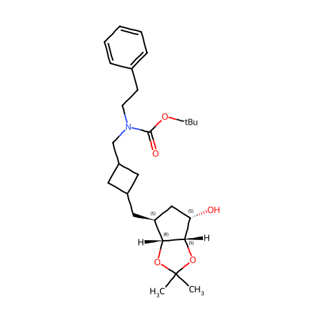 CC(C)(C)OC(=O)N(CCc1ccccc1)CC1CC(C[C@H]2C[C@H](O)[C@@H]3OC(C)(C)O[C@H]23)C1